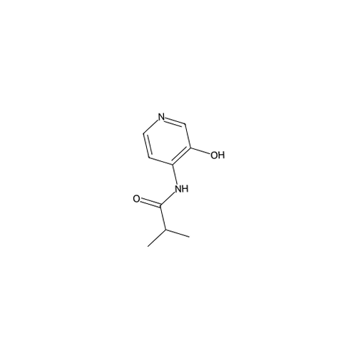 CC(C)C(=O)Nc1ccncc1O